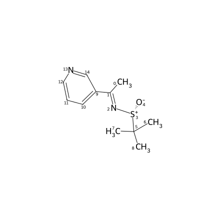 C/C(=N\[S@+]([O-])C(C)(C)C)c1cccnc1